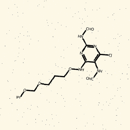 CC(C)OCOCCCONc1nc(NC=O)nc(Cl)c1NC=O